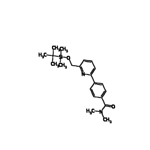 CN(C)C(=O)c1ccc(-c2cccc(CO[Si](C)(C)C(C)(C)C)n2)cc1